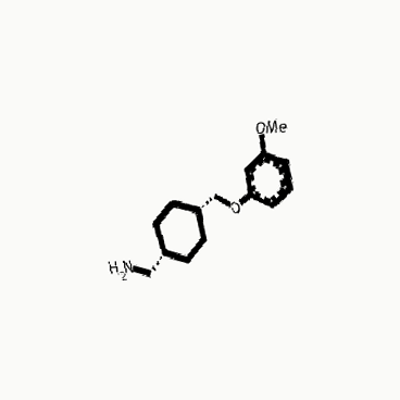 COc1cccc(OC[C@H]2CC[C@@H](CN)CC2)c1